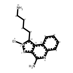 CCn1nc2c(N)nc3ccccc3c2c1CCCCN